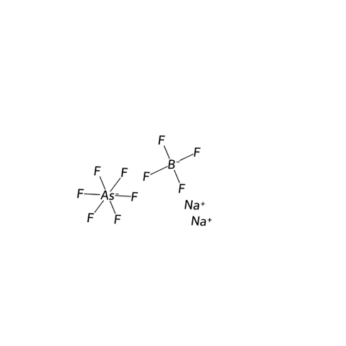 F[As-](F)(F)(F)(F)F.F[B-](F)(F)F.[Na+].[Na+]